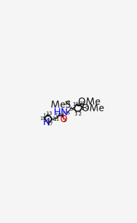 COc1ccc(C(CNC(=O)C=Cc2cccnc2)SC)cc1OC